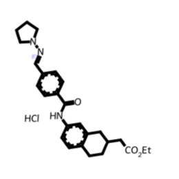 CCOC(=O)CC1CCc2ccc(NC(=O)c3ccc(/C=N/N4CCCC4)cc3)cc2C1.Cl